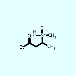 CCC(=O)CC(C)[N+](C)(C)C